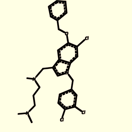 CN(C)CCCN(C)Cc1cn(Cc2ccc(Cl)c(Cl)c2)c2cc(Cl)c(OCc3ccccc3)cc12